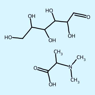 CC(C(=O)O)N(C)C.O=CC(O)C(O)C(O)C(O)CO